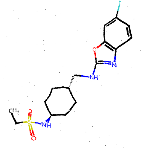 CCS(=O)(=O)N[C@H]1CC[C@H](CNc2nc3ccc(F)cc3o2)CC1